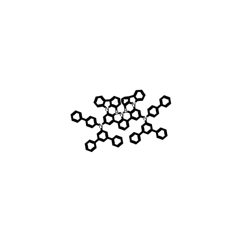 c1ccc(-c2ccc(N(c3cc(-c4ccccc4)cc(-c4ccccc4)c3)c3cc4c5c(c3)-n3c6ccccc6c6cccc(c63)B5N3B5c6c(cc(N(c7ccc(-c8ccccc8)cc7)c7cc(-c8ccccc8)cc(-c8ccccc8)c7)cc6-n6c7ccccc7c7cccc5c76)-c5cccc-4c53)cc2)cc1